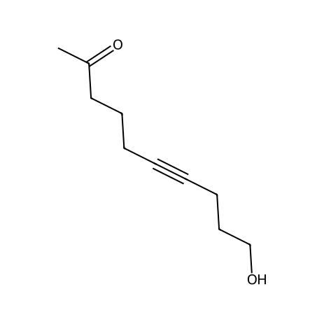 CC(=O)CCCC#CCCCO